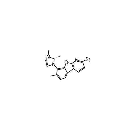 CCc1ccc2c(n1)oc1c(N3C=CN(C)[C@@H]3C)c(C)ccc12